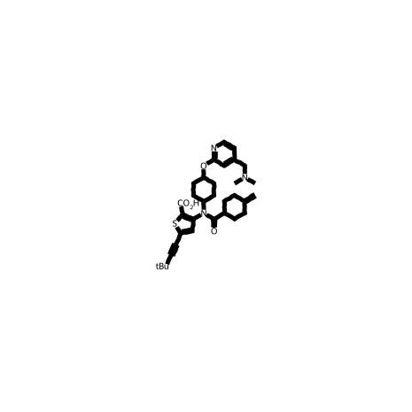 C=C1CCC(C(=O)N(c2cc(C#CC(C)(C)C)sc2C(=O)O)C2CCC(Oc3cc(CN(C)C)ccn3)CC2)CC1